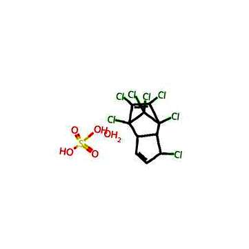 ClC1=C(Cl)C2(Cl)C3C(Cl)C=CC3C1(Cl)C2(Cl)Cl.O.O=S(=O)(O)O